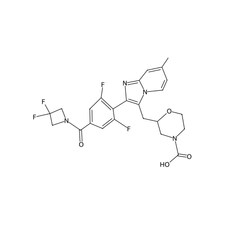 Cc1ccn2c(CC3CN(C(=O)O)CCO3)c(-c3c(F)cc(C(=O)N4CC(F)(F)C4)cc3F)nc2c1